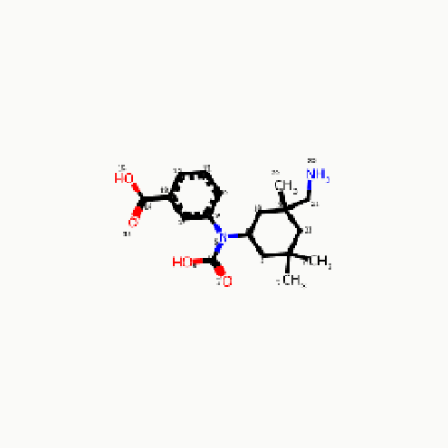 CC1(C)CC(N(C(=O)O)c2cccc(C(=O)O)c2)CC(C)(CN)C1